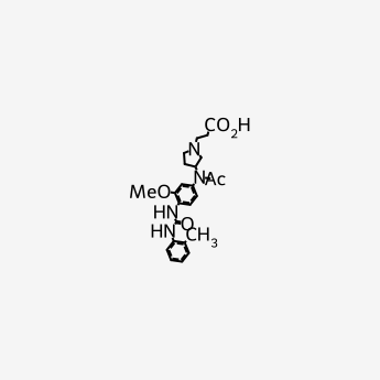 COc1cc(N(C(C)=O)C2CCN(CCC(=O)O)C2)ccc1NC(=O)Nc1ccccc1C